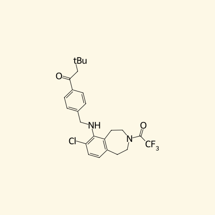 CC(C)(C)CC(=O)c1ccc(CNc2c(Cl)ccc3c2CCN(C(=O)C(F)(F)F)CC3)cc1